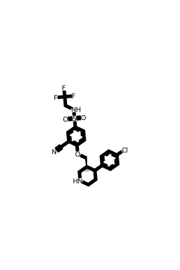 N#Cc1cc(S(=O)(=O)NCC(F)(F)F)ccc1OC[C@@H]1CNCCC1c1ccc(Cl)cc1